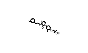 Cc1cc(-n2ccnc(SCCc3cccc(F)c3)c2=O)ccc1OCC(C)(C)O